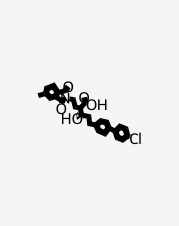 Cc1ccc2c(c1)C(=O)N(CCC(C(=O)O)[C@H](O)CCc1ccc(-c3ccc(Cl)cc3)cc1)C2=O